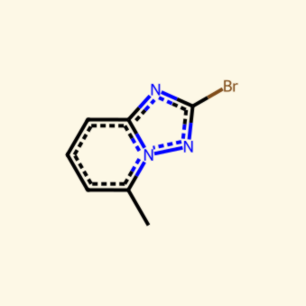 Cc1cccc2nc(Br)nn12